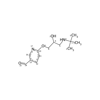 CC(C)(C)NCC(O)COc1ccc(C=O)cn1